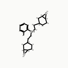 Cc1ccccc1[SiH](CCC1CCC2OC2C1)CCC1CCC2OC2C1